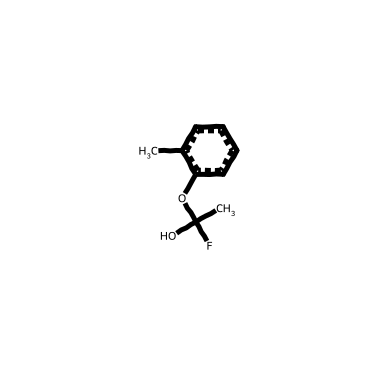 Cc1ccccc1OC(C)(O)F